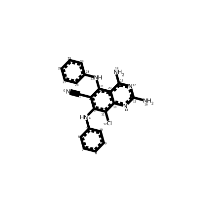 N#Cc1c(Nc2ccccc2)c(Cl)c2nc(N)nc(N)c2c1Nc1ccccc1